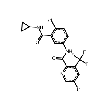 O=C(NC1CC1)c1cc(NC(=O)c2ncc(Cl)cc2C(F)(F)F)ccc1Cl